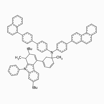 CC1c2c(c3ccc(C(C)(C)C)cc3n2-c2ccccc2)C(C2=CC=CC(C)(N(c3ccc(-c4ccc(-c5cccc6ccccc56)cc4)cc3)c3ccc(-c4ccc5c(ccc6ccccc65)c4)cc3)C2)=CC1C(C)(C)C